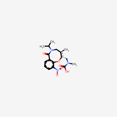 CC(C)N1C[C@@H](C)[C@H](CN(C)C(=O)O)Oc2c(cccc2[N+](=O)[O-])C1=O